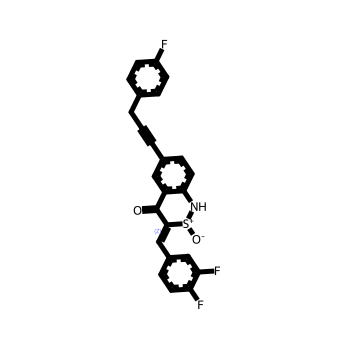 O=C1/C(=C/c2ccc(F)c(F)c2)[S+]([O-])Nc2ccc(C#CCc3ccc(F)cc3)cc21